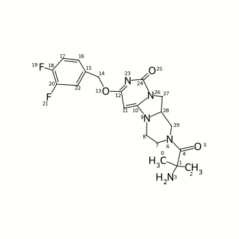 CC(C)(N)C(=O)N1CCN2c3cc(OCc4ccc(F)c(F)c4)nc(=O)n3CC2C1